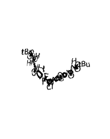 CC(C)(C)OC(=O)NCC(=O)NCCNC(=O)[C@H]1CC[C@H](C(F)(F)c2cc(Cl)nc(N3CCN(S(=O)(=O)c4ccc(N5C[C@H](NC(=O)OC(C)(C)C)CC5=O)cc4)CC3)c2)CC1